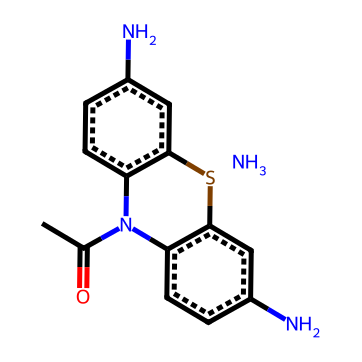 CC(=O)N1c2ccc(N)cc2Sc2cc(N)ccc21.N